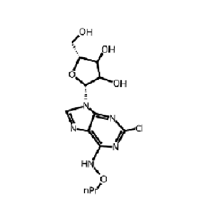 CCCONc1nc(Cl)nc2c1ncn2[C@@H]1O[C@H](CO)C(O)C1O